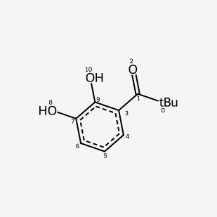 CC(C)(C)C(=O)c1cccc(O)c1O